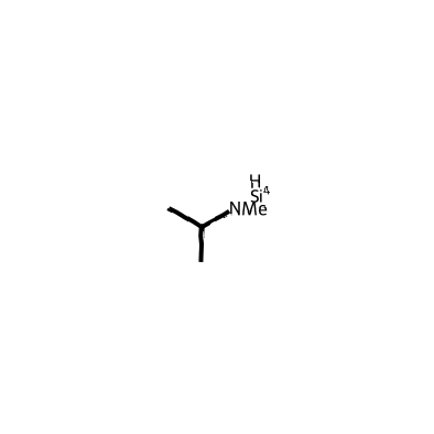 CNC(C)C.[SiH4]